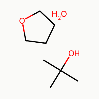 C1CCOC1.CC(C)(C)O.O